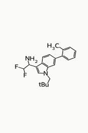 Cc1ccccc1-c1ccc2c(C(N)C(F)F)cn(CC(C)(C)C)c2c1